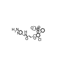 Nc1ccc(CNC(=O)C=CC2Cc3cc(-c4ccccc4S(=O)(=O)N4CCOCC4)cc(Cl)c3O2)cn1